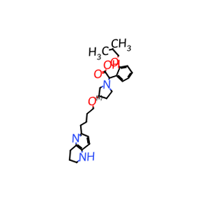 CC(C)COc1ccccc1C(C(=O)O)N1CC[C@@H](OCCCCc2ccc3c(n2)CCCN3)C1